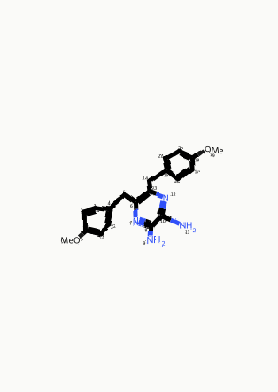 COc1ccc(Cc2nc(N)c(N)nc2Cc2ccc(OC)cc2)cc1